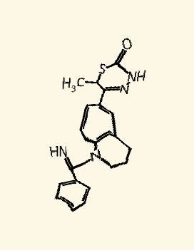 CC1SC(=O)NN=C1c1ccc2c(c1)CCCN2C(=N)c1ccccc1